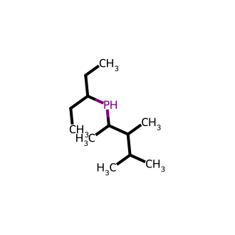 CCC(CC)PC(C)C(C)C(C)C